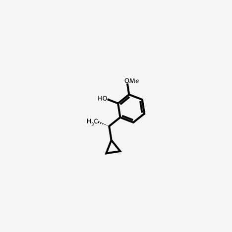 COc1cccc([C@@H](C)C2CC2)c1O